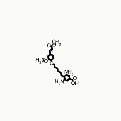 COC(=O)/C=C/c1ccc(OCCCCCCc2c(N)cc(C(=O)O)cc2N)c(OC)c1